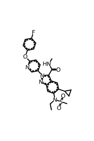 CCN(c1cc2nn(-c3ccc(Oc4ccc(F)cc4)nc3)c(C(=O)NC)c2cc1C1CC1)S(C)(=O)=O